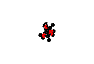 CC1CC2CC(C)N(c3ccc4c(c3)N(c3c(-c5ccccc5)cc(-c5ccccc5)cc3-c3ccccc3)c3cc(-n5c6ccccc6c6ccccc65)cc5c3B4c3ccc(-n4c6ccccc6c6ccccc64)cc3N5c3c(-c4ccccc4)cc(-c4ccccc4)cc3-c3ccccc3)C(C1)C2